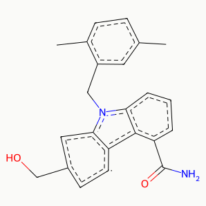 Cc1ccc(C)c(Cn2c3cc(CO)c[c]c3c3c(C(N)=O)cccc32)c1